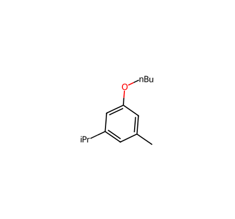 CCCCOc1cc(C)cc(C(C)C)c1